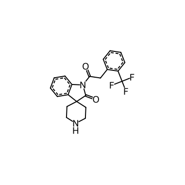 O=C(Cc1ccccc1C(F)(F)F)N1C(=O)C2(CCNCC2)c2ccccc21